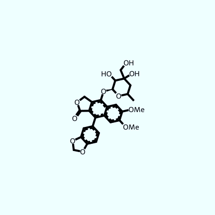 COc1cc2c(O[C@@H]3OC(C)CC(O)(CO)C3O)c3c(c(-c4ccc5c(c4)OCO5)c2cc1OC)C(=O)OC3